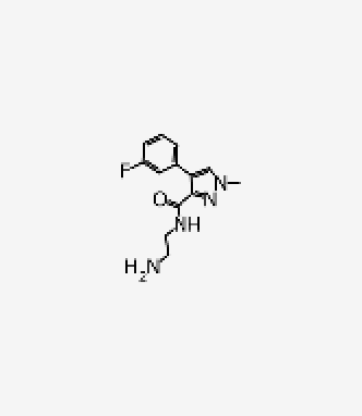 Cn1cc(-c2cccc(F)c2)c(C(=O)NCCN)n1